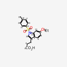 CCOc1ccc2c(CCC(=O)O)cn(S(=O)(=O)c3ccc(C)cc3)c2c1